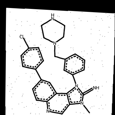 Cn1c(=N)n(-c2cccc(CN3CCNCC3)c2)c2c3cc(-c4ccc(Cl)cc4)ccc3ncc21